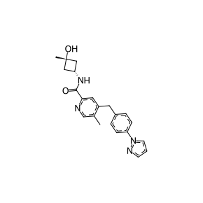 Cc1cnc(C(=O)N[C@H]2C[C@@](C)(O)C2)cc1Cc1ccc(-n2cccn2)cc1